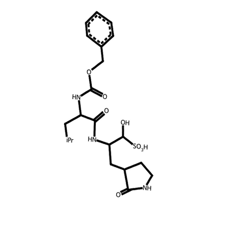 CC(C)CC(NC(=O)OCc1ccccc1)C(=O)NC(CC1CCNC1=O)C(O)S(=O)(=O)O